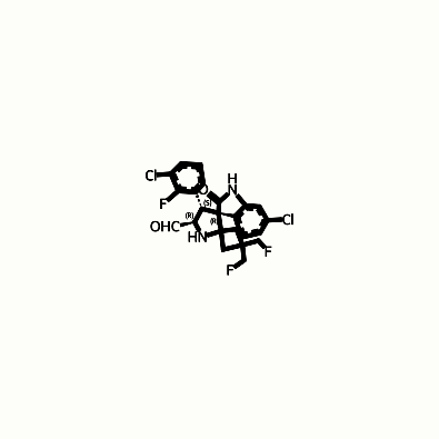 O=C[C@@H]1NC2(CC(CF)(CF)C2)[C@@]2(C(=O)Nc3cc(Cl)ccc32)[C@H]1c1cccc(Cl)c1F